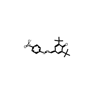 CC(C)(C)C1=CC(=CN=Nc2ccc([N+](=O)[O-])cc2)C=C(C(C)(C)C)C1=O